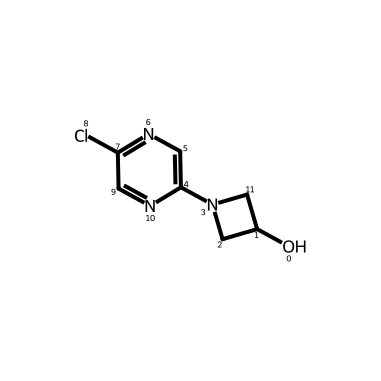 OC1CN(c2cnc(Cl)cn2)C1